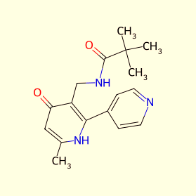 Cc1cc(=O)c(CNC(=O)C(C)(C)C)c(-c2ccncc2)[nH]1